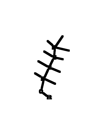 CCO[Si](C)(C)[Si](C)(C)[Si](C)(C)[Si](C)(C)C